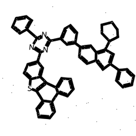 c1ccc(-c2cc(C3CCCCC3)c3cc(-c4cccc(-c5nc(-c6ccccc6)nc(-c6ccc7sc8c9ccccc9c9ccccc9c8c7c6)n5)c4)ccc3c2)cc1